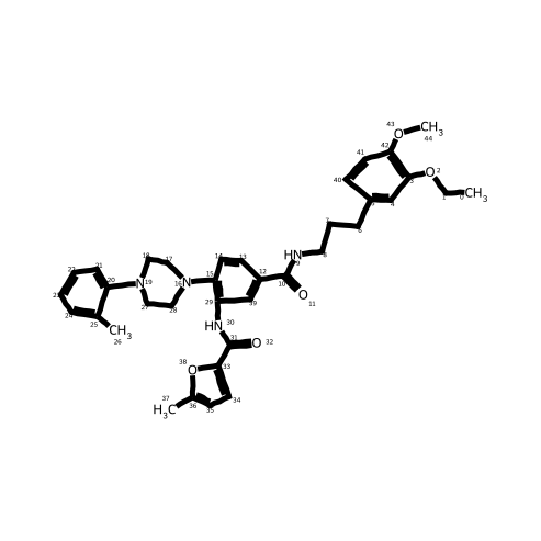 CCOc1cc(CCCNC(=O)c2ccc(N3CCN(c4ccccc4C)CC3)c(NC(=O)c3ccc(C)o3)c2)ccc1OC